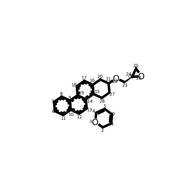 C1=CCOC=C1.c1ccc2c(c1)ccc1c3c(ccc12)CC(OC[C@H]1CO1)CC3